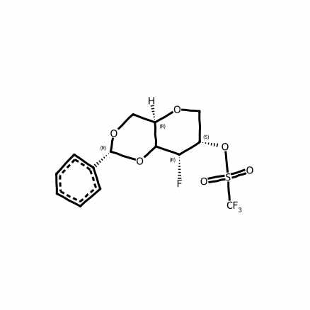 O=S(=O)(O[C@H]1CO[C@@H]2CO[C@@H](c3ccccc3)OC2[C@H]1F)C(F)(F)F